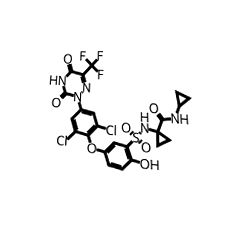 O=C(NC1CC1)C1(NS(=O)(=O)c2cc(Oc3c(Cl)cc(-n4nc(C(F)(F)F)c(=O)[nH]c4=O)cc3Cl)ccc2O)CC1